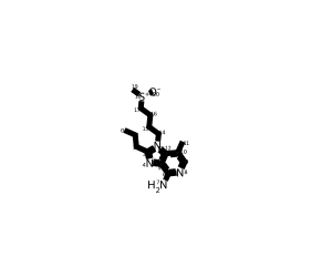 CCCc1nc2c(N)ncc(C)c2n1CCCC[S+](C)[O-]